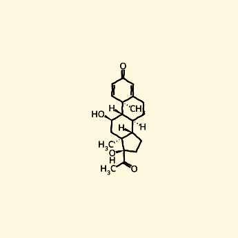 CC(=O)[C@@]1(O)CC[C@H]2[C@@H]3CCC4=CC(=O)C=C[C@]4(C)[C@H]3[C@H](O)C[C@@]21C